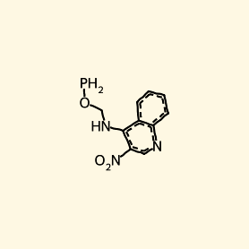 O=[N+]([O-])c1cnc2ccccc2c1NCOP